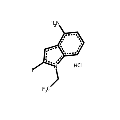 Cl.Nc1cccc2c1cc(I)n2CC(F)(F)F